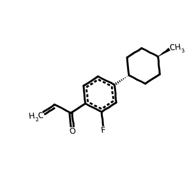 C=CC(=O)c1ccc([C@H]2CC[C@H](C)CC2)cc1F